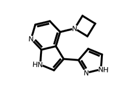 c1cc(N2CCC2)c2c(-c3cc[nH]n3)c[nH]c2n1